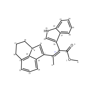 COC(=O)/C(=C(\C)c1cn2c3c(cccc13)CCC2)c1c[nH]c2ccccc12